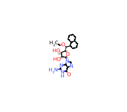 C=COC(c1cccc2ccccc12)[C@H]1O[C@@H](n2cnc3c(=O)[nH]c(N)nc32)[C@H](O)[C@@H]1O